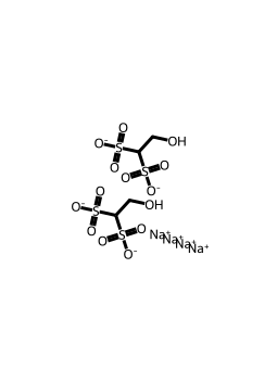 O=S(=O)([O-])C(CO)S(=O)(=O)[O-].O=S(=O)([O-])C(CO)S(=O)(=O)[O-].[Na+].[Na+].[Na+].[Na+]